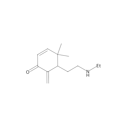 C=C1C(=O)C=CC(C)(C)C1CCNCC